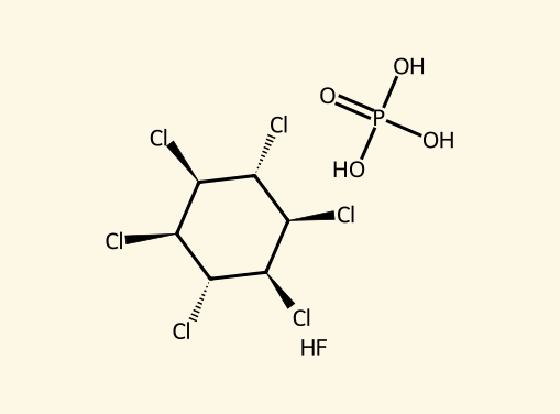 Cl[C@H]1[C@H](Cl)[C@@H](Cl)[C@@H](Cl)[C@H](Cl)[C@H]1Cl.F.O=P(O)(O)O